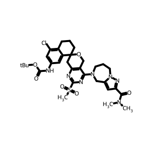 CN(C)C(=O)c1cc2n(n1)CCCN(c1nc(S(C)(=O)=O)nc3c1COC1(CCCc4c(Cl)cc(NC(=O)OC(C)(C)C)cc41)C3)C2